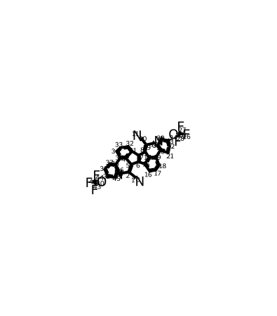 N#CC(C#N)=C1C2=C(C(=C(C#N)C#N)c3c2cccc3-c2ccc(OC(F)(F)F)cc2)c2cccc(-c3ccc(OC(F)(F)F)cc3)c21